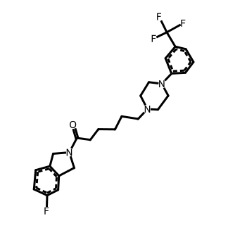 O=C(CCCCCN1CCN(c2cccc(C(F)(F)F)c2)CC1)N1Cc2ccc(F)cc2C1